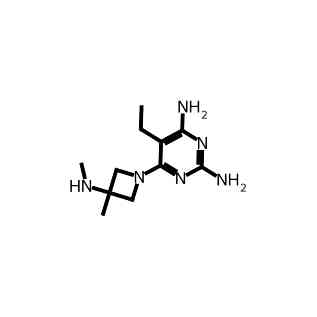 CCc1c(N)nc(N)nc1N1CC(C)(NC)C1